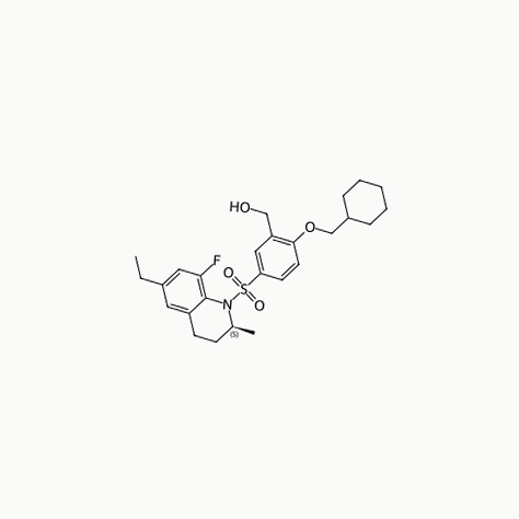 CCc1cc(F)c2c(c1)CC[C@H](C)N2S(=O)(=O)c1ccc(OCC2CCCCC2)c(CO)c1